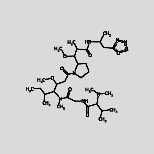 CCC(C)C(C(CC(=O)N1CCCC1C(OC)C(C)C(=O)NC(C)Cc1nnco1)OC)N(C)C(=O)CNC(=O)C(C(C)C)N(C)C